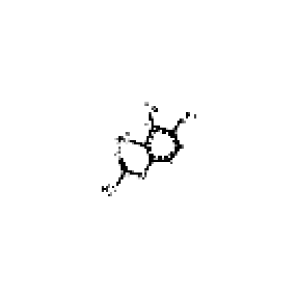 CC(C)(C)c1ccc(OC(N)=O)c(C(C)(C)C)c1C(C)(C)C